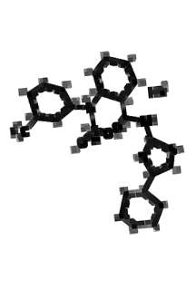 Br.O=C(Nc1nc(-c2ccccc2)cs1)c1ccccc1N(c1cccc(C(F)(F)F)c1)[SH](=O)=O